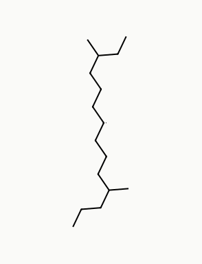 CCCC(C)CCC[CH]CCCC(C)CC